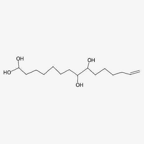 C=CCCCCC(O)C(O)CCCCCCC(O)O